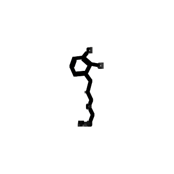 COCOC[CH]Cc1cccc(Cl)c1Cl